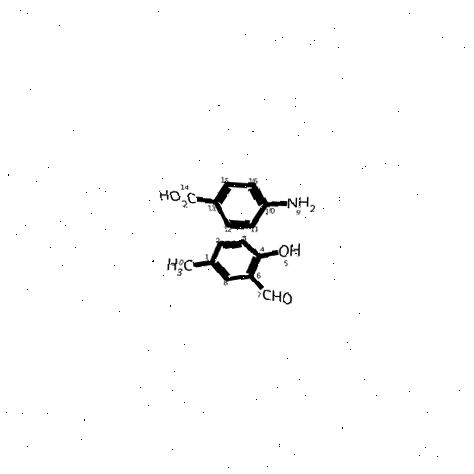 Cc1ccc(O)c(C=O)c1.Nc1ccc(C(=O)O)cc1